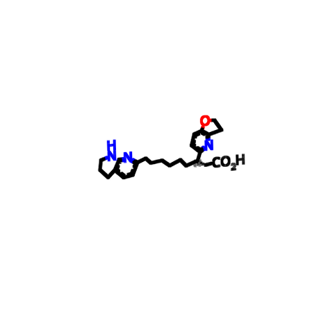 O=C(O)C[C@H](CCCCCCc1ccc2c(n1)NCCC2)c1ccc2c(n1)CCO2